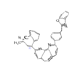 C=C/C=C(/c1ccc2ccc3ccc(-c4ccc(-c5nc6ccccc6o5)cc4)nc3c2n1)c1ccccc1C